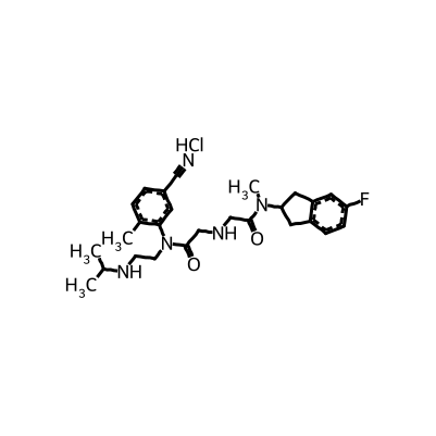 Cc1ccc(C#N)cc1N(CCNC(C)C)C(=O)CNCC(=O)N(C)C1Cc2ccc(F)cc2C1.Cl